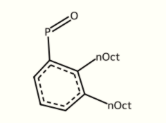 CCCCCCCCc1cccc(P=O)c1CCCCCCCC